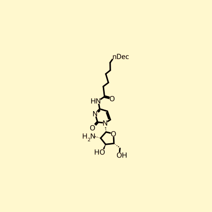 CCCCCCCCCCCCCCCC(=O)Nc1ccn([C@@H]2O[C@H](CO)[C@@H](O)[C@@H]2N)c(=O)n1